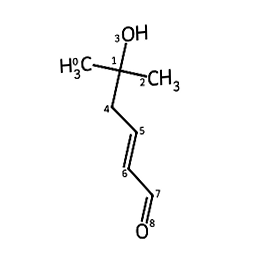 CC(C)(O)CC=CC=O